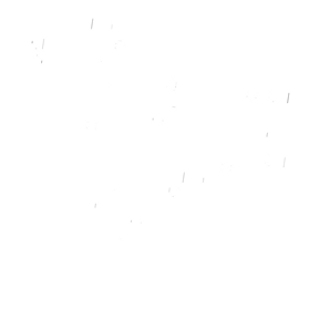 COc1cc(OC)c2c(c1)OC(c1cc(Oc3ccccc3)c(Oc3ccccc3)c(Oc3ccccc3)c1)C(OC(=O)c1cc(OC)c(OC)c(OC)c1)C2